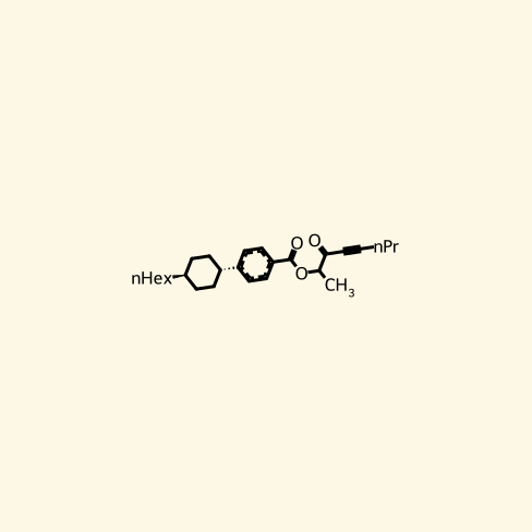 CCCC#CC(=O)C(C)OC(=O)c1ccc([C@H]2CC[C@H](CCCCCC)CC2)cc1